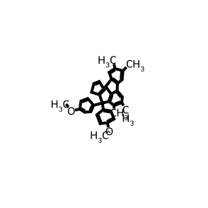 COc1ccc(C(C2=CC=CC2)(c2ccc(OC)cc2)c2c(C)c(C)cc3c2Cc2cc(C)c(C)cc2-3)cc1